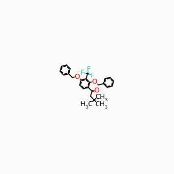 CC(C)(C)CC(=O)c1ccc(OCc2ccccc2)c(C(F)(F)F)c1OCc1ccccc1